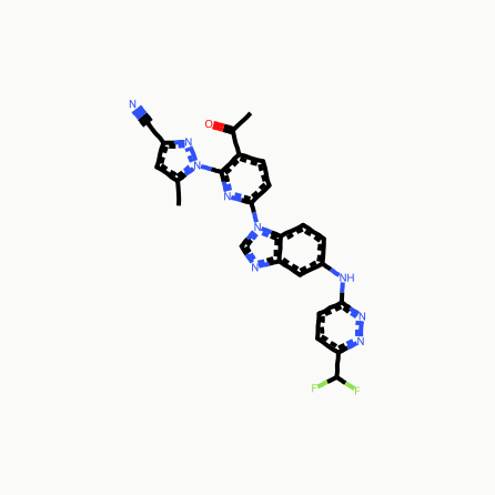 CC(=O)c1ccc(-n2cnc3cc(Nc4ccc(C(F)F)nn4)ccc32)nc1-n1nc(C#N)cc1C